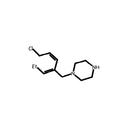 CC/C=C(\C=C/CCl)CN1CCNCC1